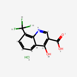 Cl.O=C(O)c1cnc2c(C(F)(F)F)cccc2c1O